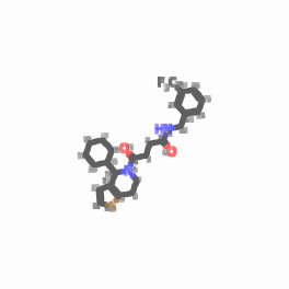 O=C(CCC(=O)N1CCc2sccc2C1C1CCCCC1)NCc1cccc(C(F)(F)F)c1